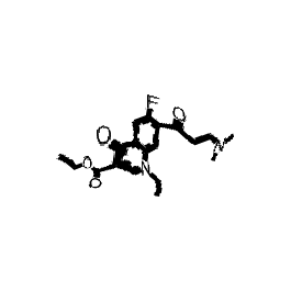 CCOC(=O)c1cn(CC)c2cc(C(=O)C=CN(C)C)c(F)cc2c1=O